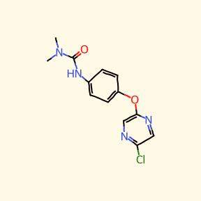 CN(C)C(=O)Nc1ccc(Oc2cnc(Cl)cn2)cc1